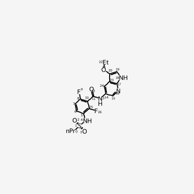 CCCS(=O)(=O)Nc1ccc(F)c(C(=O)Nc2cnc3[nH]cc(OCC)c3c2)c1F